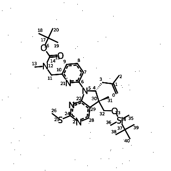 C=C(C)C[C@H]1N(c2cccc(CN(C)C(=O)OC(C)(C)C)n2)c2nc(SC)ncc2[C@@]1(C)CO[Si](C)(C)C(C)(C)C